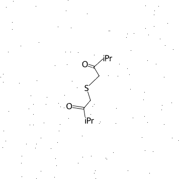 CC(C)C(=O)CSCC(=O)C(C)C